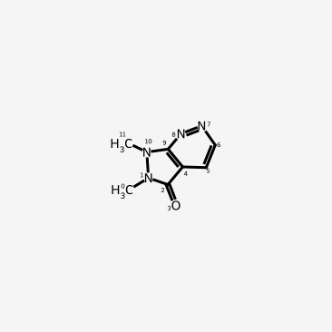 Cn1c(=O)c2ccnnc2n1C